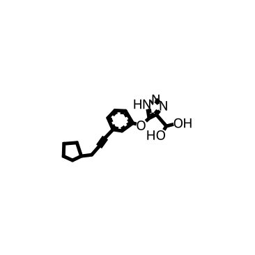 OC(O)c1nn[nH]c1Oc1cccc(C#CCC2CCCC2)c1